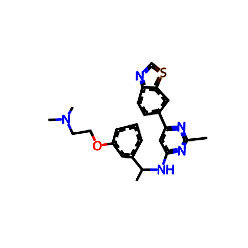 Cc1nc(NC(C)c2cccc(OCCN(C)C)c2)cc(-c2ccc3ncsc3c2)n1